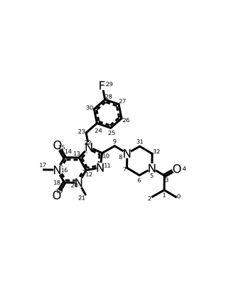 CC(C)C(=O)N1CCN(Cc2nc3c(c(=O)n(C)c(=O)n3C)n2Cc2cccc(F)c2)CC1